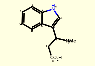 CNC(CC(=O)O)c1c[nH]c2ccccc12